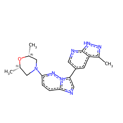 Cc1n[nH]c2ncc(-c3cnc4ccc(N5C[C@@H](C)O[C@@H](C)C5)nn34)cc12